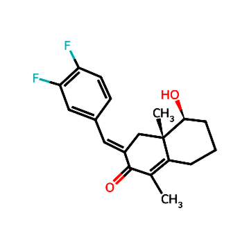 CC1=C2CCC[C@H](O)[C@@]2(C)CC(=Cc2ccc(F)c(F)c2)C1=O